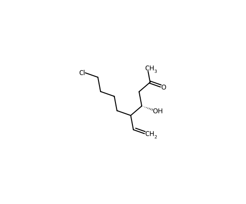 C=CC(CCCCCl)[C@@H](O)CC(C)=O